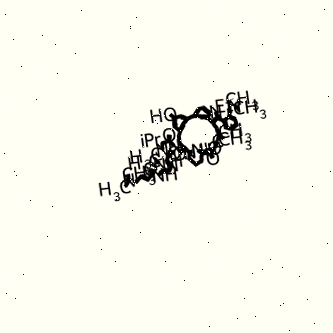 CCn1c(-c2ccccc2CN(C)C)c2c3cc(ccc31)-c1cc(O)cc(c1)C[C@H](NC(=O)[C@H](C(C)C)N(C)C(=O)c1ncc(NC(=O)/C=C/CN(C)C)n1C)C(=O)N1CCC[C@H](N1)C(=O)OCC(C)(C)C2